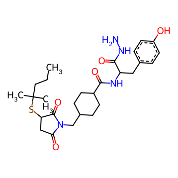 CCCC(C)(C)SC1CC(=O)N(CC2CCC(C(=O)NC(Cc3ccc(O)cc3)C(=O)NN)CC2)C1=O